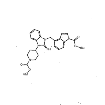 CC(C)(C)OC(=O)N1CCC(n2c(=N)n(Cc3cccc4c3ccn4C(=O)OC(C)(C)C)c3ccccc32)CC1